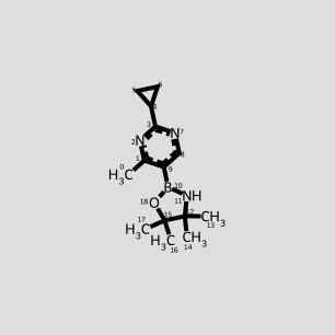 Cc1nc(C2CC2)ncc1B1NC(C)(C)C(C)(C)O1